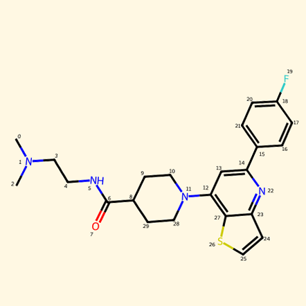 CN(C)CCNC(=O)C1CCN(c2cc(-c3ccc(F)cc3)nc3ccsc23)CC1